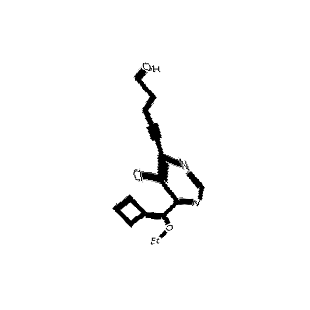 CCOC(=C1CCC1)c1ncnc(C#CCCCO)c1Cl